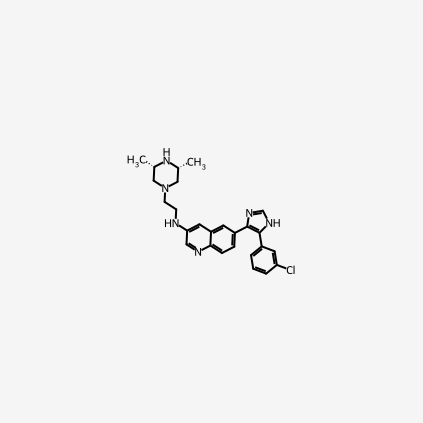 C[C@@H]1CN(CCNc2cnc3ccc(-c4nc[nH]c4-c4cccc(Cl)c4)cc3c2)C[C@H](C)N1